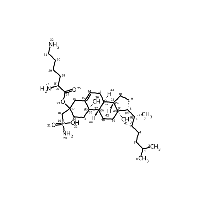 CC(C)CCC[C@@H](C)[C@H]1CC[C@H]2[C@@H]3CC=C4CC(CP(N)(=O)O)(OC(=O)[C@@H](N)CCCCN)CC[C@]4(C)[C@H]3CC[C@]12C